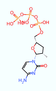 C[C@H]1C[C@@H](COP(=O)(O)OP(=O)(O)OP(=O)(O)O)O[C@H]1n1ccc(N)nc1=O